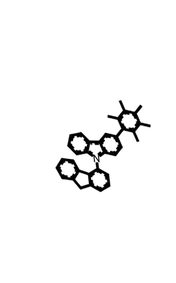 Cc1c(C)c(C)c(-c2ccc3c(c2)c2ccccc2n3-c2cccc3c2-c2ccccc2C3)c(C)c1C